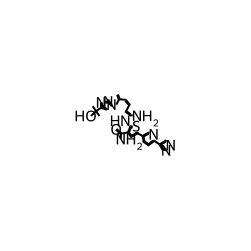 C=C(/C=C\C=C(/N)Nc1sc(-c2ccc(-c3cnn(C)c3)nc2)cc1C(N)=O)Cn1cc(C(C)(C)O)nn1